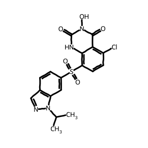 CC(C)n1ncc2ccc(S(=O)(=O)c3ccc(Cl)c4c(=O)n(O)c(=O)[nH]c34)cc21